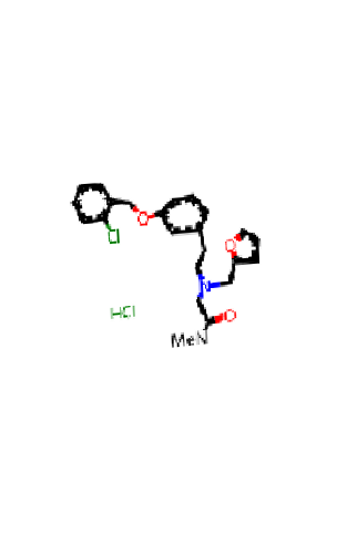 CNC(=O)CN(CCc1cccc(OCc2ccccc2Cl)c1)Cc1ccco1.Cl